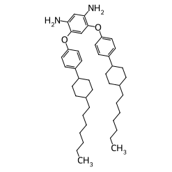 CCCCCCCC1CCC(c2ccc(Oc3cc(Oc4ccc(C5CCC(CCCCCCC)CC5)cc4)c(N)cc3N)cc2)CC1